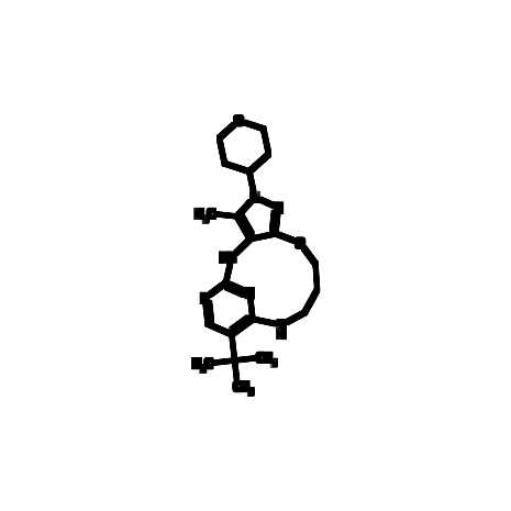 Cc1c2c(nn1C1CCOCC1)OCCCNc1nc(ncc1C(C)(C)C)N2